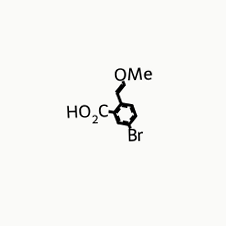 COC=Cc1ccc(Br)cc1C(=O)O